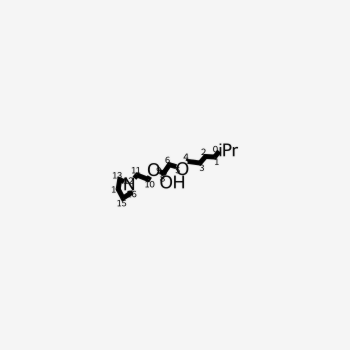 CC(C)CCCCOCC(O)OCCN1CCCC1